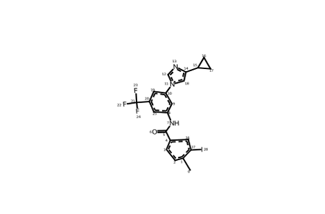 Cc1ccc(C(=O)Nc2cc(-n3cnc(C4CC4)c3)cc(C(F)(F)F)c2)cc1I